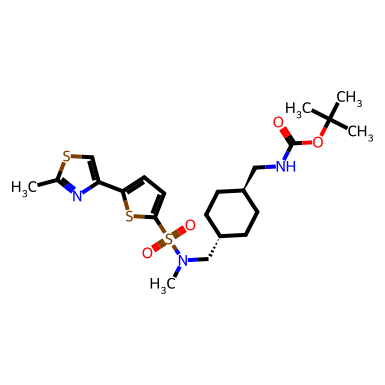 Cc1nc(-c2ccc(S(=O)(=O)N(C)C[C@H]3CC[C@H](CNC(=O)OC(C)(C)C)CC3)s2)cs1